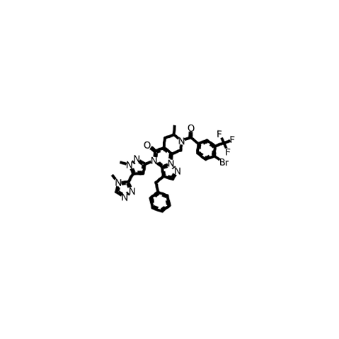 CC1Cc2c(n3ncc(Cc4ccccc4)c3n(-c3cc(-c4nncn4C)n(C)n3)c2=O)CN1C(=O)c1ccc(Br)c(C(F)(F)F)c1